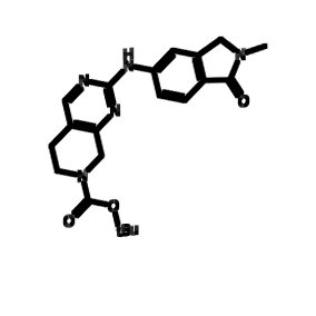 CN1Cc2cc(Nc3ncc4c(n3)CN(C(=O)OC(C)(C)C)CC4)ccc2C1=O